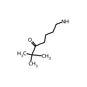 CC(C)(C)C(=O)CCCC[NH]